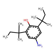 CCC(C)(C)c1cc(N)cc(C(C)(C)CC)c1O